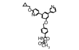 CS(=O)(=O)NC(=O)c1ccc(COc2cc(-c3cccnc3)cc(-c3ccc(OCC4CC4)nc3)c2)cc1